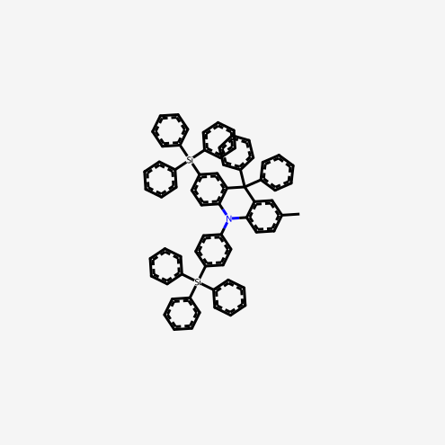 Cc1ccc2c(c1)C(c1ccccc1)(c1ccccc1)c1cc([Si](c3ccccc3)(c3ccccc3)c3ccccc3)ccc1N2c1ccc([Si](c2ccccc2)(c2ccccc2)c2ccccc2)cc1